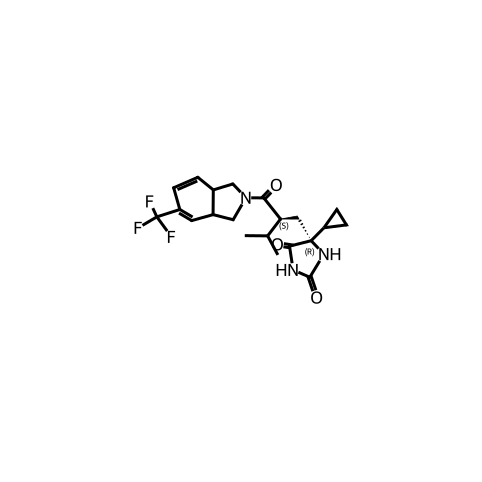 CC(C)[C@H](C[C@]1(C2CC2)NC(=O)NC1=O)C(=O)N1CC2C=CC(C(F)(F)F)=CC2C1